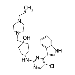 C=CCN1CCN(CC2(O)CCC(Nc3ncc(Cl)c(-c4c[nH]c5ccccc45)n3)CC2)CC1